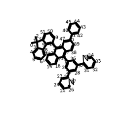 CC1(C)c2ccccc2-c2c(-c3c4ccccc4c(-c4cc(-c5ccccn5)cc(-c5ccccn5)c4)c4ccc(-c5ccccc5)cc34)cccc21